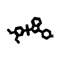 COc1ccc(S(=O)(=O)n2cc(N3CCNCC3)c3ncccc32)cc1OC